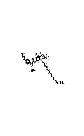 Br.CCCCCCCCCCCCCCOc1cc(CC(=O)Nc2ccc(CN3C=CSC3)cc2)ccc1C(C)(C)C